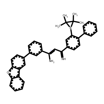 CC1(C)B(c2cc(C(=N)/C=C(\N)c3cccc(-c4ccc5oc6ccccc6c5c4)c3)ccc2-c2ccccc2)C1(C)C